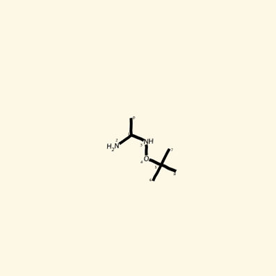 CC(N)NOC(C)(C)C